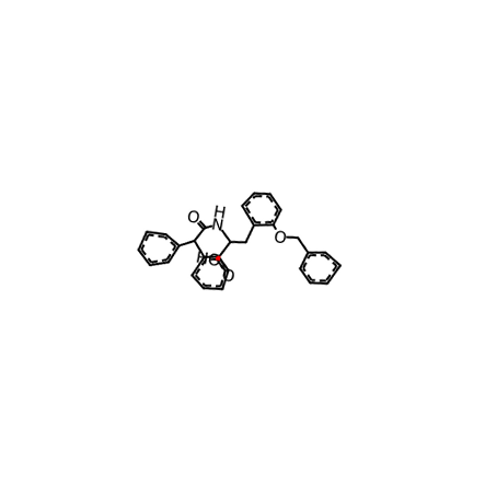 O=C(O)C(Cc1ccccc1OCc1ccccc1)NC(=O)C(c1ccccc1)c1ccccc1